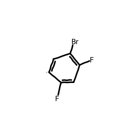 Fc1[c]cc(Br)c(F)c1